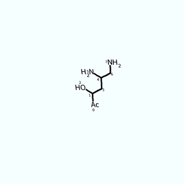 CC(=O)C(O)CC(N)CN